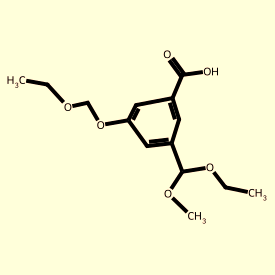 CCOCOc1cc(C(=O)O)cc(C(OC)OCC)c1